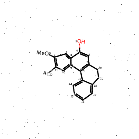 COc1cc2c(O)cc3c(c2cc1C(C)=O)-c1ccccc1CC3